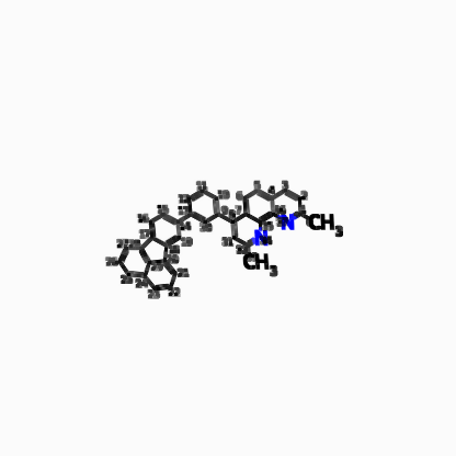 Cc1ccc2ccc3c(-c4cccc(-c5ccc6c(c5)-c5cccc7cccc-6c57)c4)cc(C)nc3c2n1